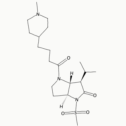 CC(C)[C@H]1C(=O)N(S(C)(=O)=O)[C@H]2CCN(C(=O)CCCC3CCN(C)CC3)[C@H]12